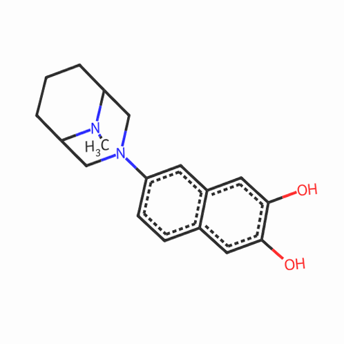 CN1C2CCCC1CN(c1ccc3cc(O)c(O)cc3c1)C2